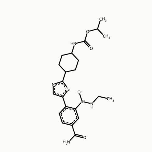 CCN[S+]([O-])c1cc(C(N)=O)ccc1-c1cnc(C2CCC(NC(=O)OC(C)C)CC2)s1